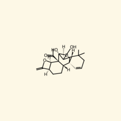 C=C1O[C@@H]2[C@H]1CC[C@H]1[C@]34C=CCC(C)(C)[C@H]3[C@H](O)[C@](O)(OC4)[C@@]21C(C)=O